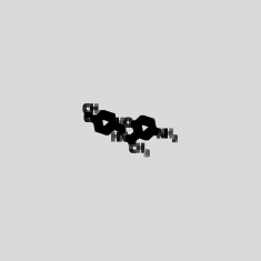 COc1ccc(CNC(C)c2cc(N)ccc2O)cc1